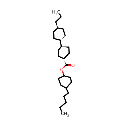 CCCCCC1CCC(OC(=O)[C@H]2CC[C@H]([C@H]3CC[C@H](CCC)CC3)CC2)CC1